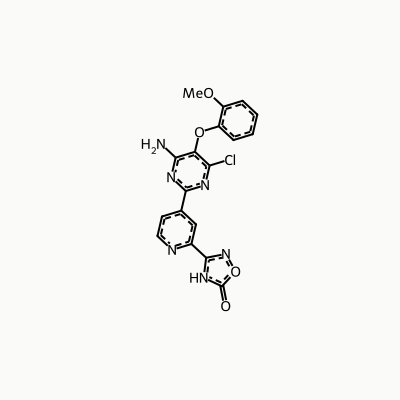 COc1ccccc1Oc1c(N)nc(-c2ccnc(-c3noc(=O)[nH]3)c2)nc1Cl